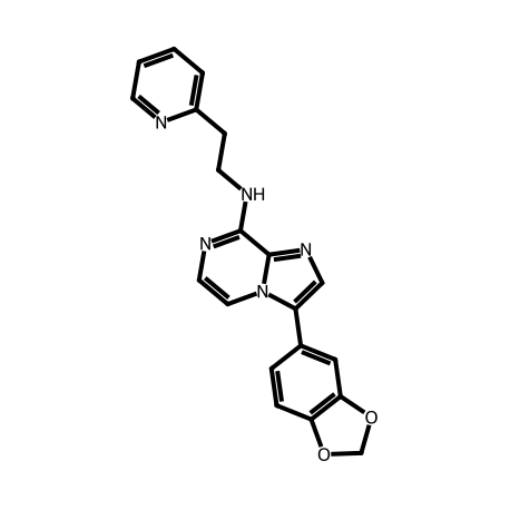 c1ccc(CCNc2nccn3c(-c4ccc5c(c4)OCO5)cnc23)nc1